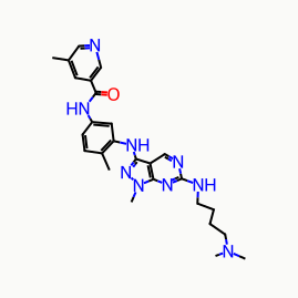 Cc1cncc(C(=O)Nc2ccc(C)c(Nc3nn(C)c4nc(NCCCCN(C)C)ncc34)c2)c1